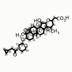 C[C@@H]1CC(CC(=O)O)OC2[C@H]1[C@@]1(C)CC[C@@]34C[C@@]35CC[C@H](O[C@H]3CN(C(=O)CC6CC6)CCO3)C(C)(C)[C@@H]5CCC4[C@]1(C)[C@H]2O